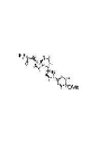 COc1ccc(-c2ccn(-c3ccnc4c3ccn4OC(=O)C(F)(F)F)n2)cc1